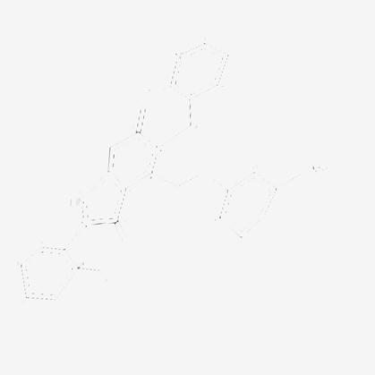 COc1cccc(OCc2c3c(=O)n(-c4ccccc4Cl)[nH]c3cc(=O)n2Cc2cccnc2)c1